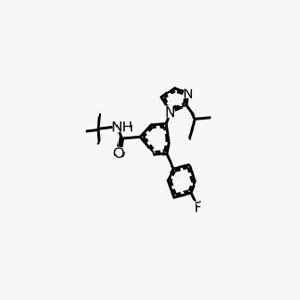 CC(C)c1nccn1-c1cc(C(=O)NC(C)(C)C)cc(-c2ccc(F)cc2)c1